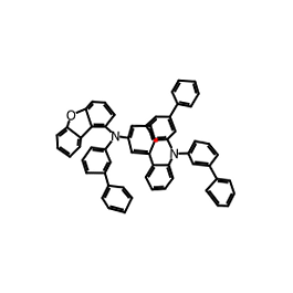 c1ccc(-c2cccc(N(c3cccc(-c4ccccc4)c3)c3ccccc3-c3cccc(N(c4cccc(-c5ccccc5)c4)c4cccc5oc6ccccc6c45)c3)c2)cc1